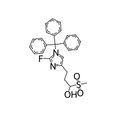 CS(=O)(=O)C(O)CCc1cn(C(c2ccccc2)(c2ccccc2)c2ccccc2)c(F)n1